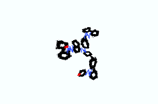 c1ccc(-n2c3ccccc3c3ccc(-c4ccc(N(c5ccc(-n6c7ccccc7c7ccccc76)cc5)c5ccc(-n6c7ccccc7c7ccccc76)c6ccccc56)cc4)cc32)cc1